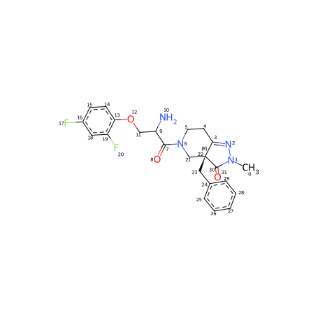 CN1N=C2CCN(C(=O)C(N)COc3ccc(F)cc3F)C[C@@]2(Cc2ccccc2)C1=O